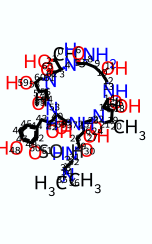 C[C@@H](O)C1NC(=O)[C@@H](N)C[C@@H](O)CNC(=O)[C@@H]2[C@@H](O)[C@@H](C)CN2C(=O)[C@H]([C@H](O)CC(=O)NCCN(C)C)NC(=O)[C@H]([C@H](O)Cc2ccc(O)c(OS(=O)(=O)O)c2)NC(=O)[C@@H]2C[C@@H](O)CN2C1=O